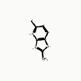 Cc1ccc2sc(N)nc2n1